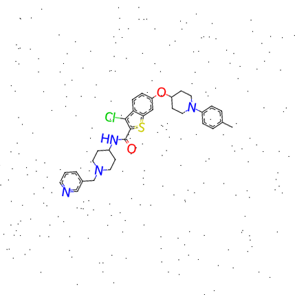 Cc1ccc(N2CCC(Oc3ccc4c(Cl)c(C(=O)NC5CCN(Cc6cccnc6)CC5)sc4c3)CC2)cc1